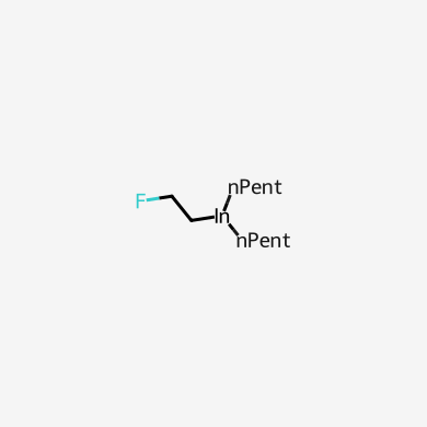 CCCC[CH2][In]([CH2]CF)[CH2]CCCC